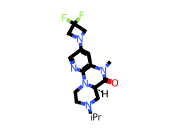 CC(C)N1CCN2c3ncc(N4CC(F)(F)C4)cc3N(C)C(=O)[C@H]2C1